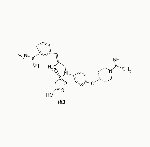 CC(=N)N1CCC(Oc2ccc(N(C/C(C)=C/c3cccc(C(=N)N)c3)S(=O)(=O)CC(=O)O)cc2)CC1.Cl